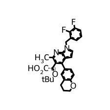 Cc1nc2c(ccn2Cc2cccc(F)c2F)c(-c2ccc3c(c2)CCCO3)c1[C@H](OC(C)(C)C)C(=O)O